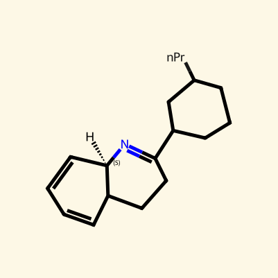 CCCC1CCCC(C2=N[C@@H]3C=CC=CC3CC2)C1